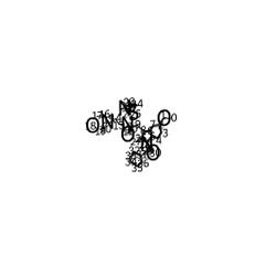 COc1ccc2c(c1)c(CC(=O)N(CCN1CCOCC1)c1nccs1)c(C)n2C(=O)c1ccccc1